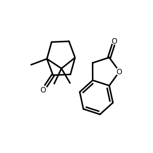 CC12CCC(CC1=O)C2(C)C.O=C1Cc2ccccc2O1